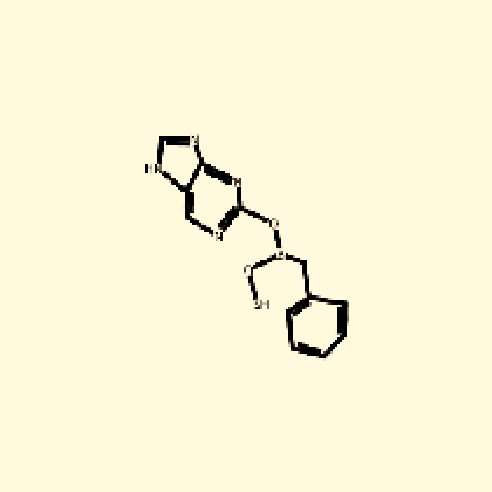 SOB(Cc1ccccc1)Oc1ncc2[nH]cnc2n1